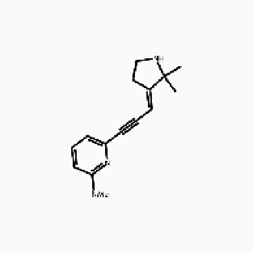 CNc1cccc(C#C/C=C2\CCNC2(C)C)n1